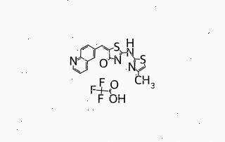 Cc1csc(NC2=NC(=O)C(=Cc3ccc4ncccc4c3)S2)n1.O=C(O)C(F)(F)F